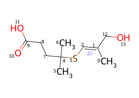 C/C(=C\SC(C)(C)CCC(=O)O)CO